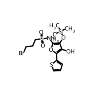 C[Si](C)(C)Oc1c(NS(=O)(=O)CCCBr)oc(-c2cccs2)c1O